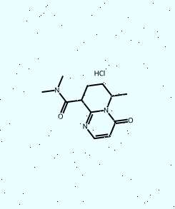 CC1CCC(C(=O)N(C)C)c2nccc(=O)n21.Cl